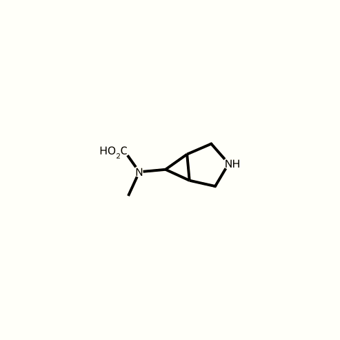 CN(C(=O)O)C1C2CNCC21